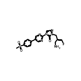 CS(=O)(=O)c1ccc(-c2cnc(-n3cnn(C/C(=C/F)CN)c3=O)nc2)cc1